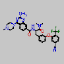 CN1CCN(c2nc(N)nc3cc(C(=O)NC(Cc4cccc(Oc5cc(C#N)ccc5C(F)(F)F)c4)C(=O)N(C)C)ccc23)CC1